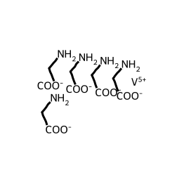 NCC(=O)[O-].NCC(=O)[O-].NCC(=O)[O-].NCC(=O)[O-].NCC(=O)[O-].[V+5]